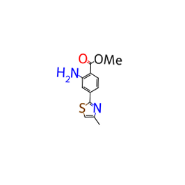 COC(=O)c1ccc(-c2nc(C)cs2)cc1N